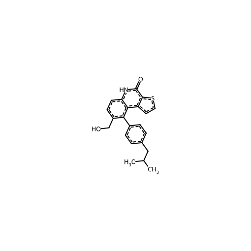 CC(C)Cc1ccc(-c2c(CO)ccc3[nH]c(=O)c4sccc4c23)cc1